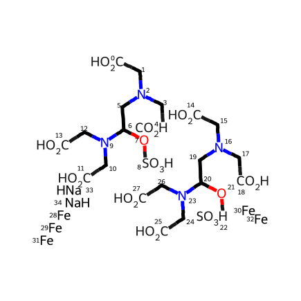 O=C(O)CN(CC(=O)O)CC(OS(=O)(=O)O)N(CC(=O)O)CC(=O)O.O=C(O)CN(CC(=O)O)CC(OS(=O)(=O)O)N(CC(=O)O)CC(=O)O.[Fe].[Fe].[Fe].[Fe].[Fe].[NaH].[NaH]